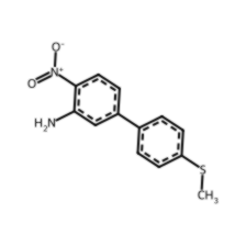 CSc1ccc(-c2ccc([N+](=O)[O-])c(N)c2)cc1